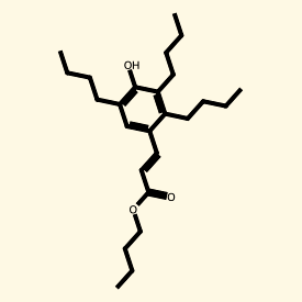 CCCCOC(=O)C=Cc1cc(CCCC)c(O)c(CCCC)c1CCCC